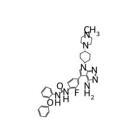 CN1CCN([C@H]2CC[C@@H](n3cc(-c4ccc(NC(=O)Nc5ccccc5Oc5ccccc5)c(F)c4)c4c(N)ncnc43)CC2)CC1